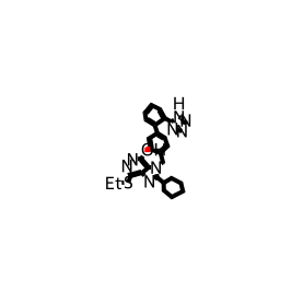 CCSc1nnc(O)c2c1nc(C1CCCCC1)n2Cc1ccc(-c2ccccc2-c2nnn[nH]2)cc1